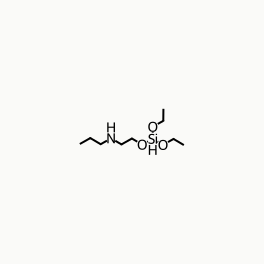 CCCNCCO[SiH](OCC)OCC